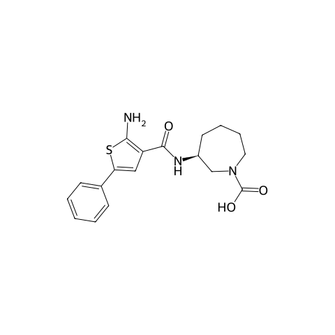 Nc1sc(-c2ccccc2)cc1C(=O)N[C@H]1CCCCN(C(=O)O)C1